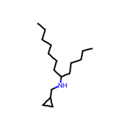 CCCCCCCC(CCCCC)NCC1CC1